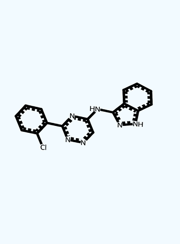 Clc1ccccc1-c1nncc(Nc2n[nH]c3ccccc23)n1